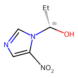 CC[C@H](O)n1cncc1[N+](=O)[O-]